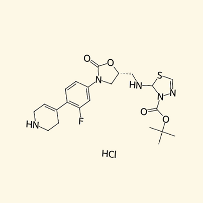 CC(C)(C)OC(=O)N1N=CSC1NC[C@@H]1CN(c2ccc(C3=CCNCC3)c(F)c2)C(=O)O1.Cl